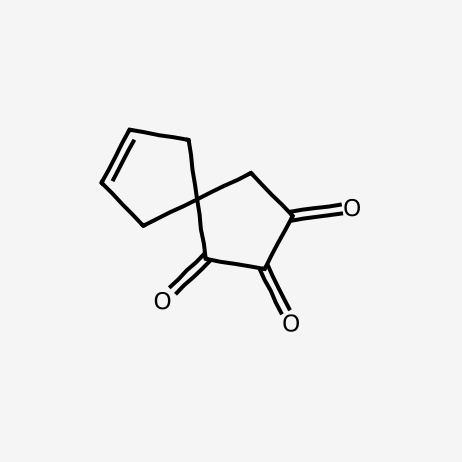 O=C1CC2(CC=CC2)C(=O)C1=O